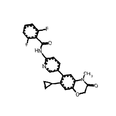 CN1C(=O)COc2cc(C3CC3)c(-c3ccc(NC(=O)c4c(F)cccc4F)nc3)cc21